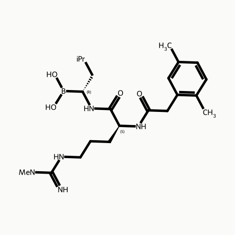 CNC(=N)NCCC[C@H](NC(=O)Cc1cc(C)ccc1C)C(=O)N[C@@H](CC(C)C)B(O)O